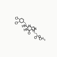 COC(=O)CCn1ncc2nc(NCc3ccc(Cl)c(Cl)c3)[nH]c(=O)c21